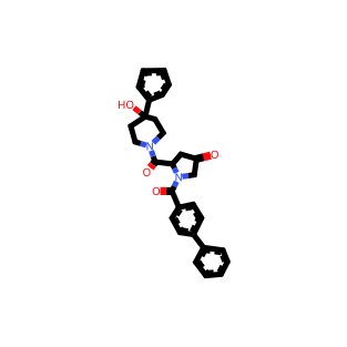 O=C1CC(C(=O)N2CCC(O)(c3ccccc3)CC2)N(C(=O)c2ccc(-c3ccccc3)cc2)C1